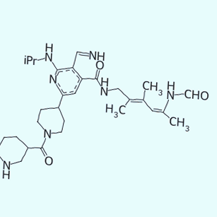 C/C(=C/C(C)=C(\C)CNC(=O)c1cc(C2CCN(C(=O)C3CCCNC3)CC2)nc(NC(C)C)c1C=N)NC=O